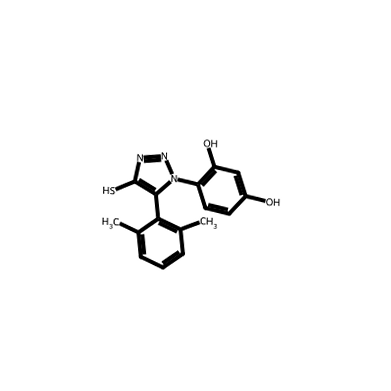 Cc1cccc(C)c1-c1c(S)nnn1-c1ccc(O)cc1O